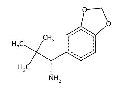 CC(C)(C)[C@@H](N)c1ccc2c(c1)OCO2